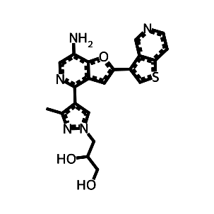 Cc1nn(CC(O)CO)cc1-c1ncc(N)c2oc(-c3csc4ccncc34)cc12